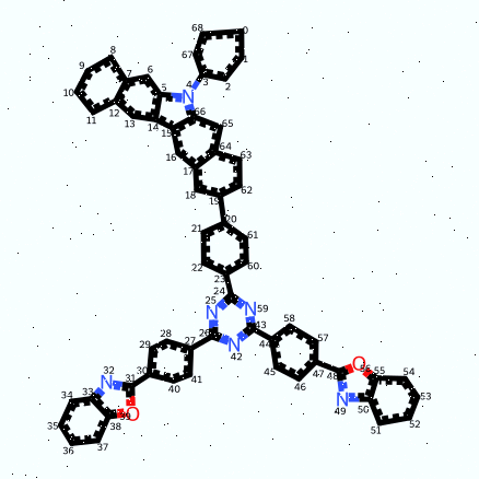 c1ccc(-n2c3cc4ccccc4cc3c3cc4cc(-c5ccc(-c6nc(-c7ccc(-c8nc9ccccc9o8)cc7)nc(-c7ccc(-c8nc9ccccc9o8)cc7)n6)cc5)ccc4cc32)cc1